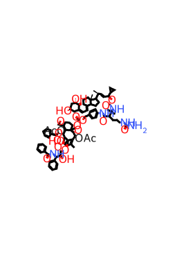 C=C1/C(=C\C=C2/CCC[C@@]3(C)C2CCC3[C@@H](C)/C=C/C(OC(=O)NC(C)(C)C(CCCNC(N)=O)C(=O)Nc2ccc(COC(=O)OC3CC4OCC4(OC(C)=O)C4C(OC(=O)c5ccccc5)C5(O)CC(OC(=O)C(O)C(NC(=O)c6ccccc6)c6ccccc6)C(C)=C(C(OC(C)=O)C(=O)C34C)C5(C)C)cc2)C2CC2)C[C@@H](O)C[C@@H]1O